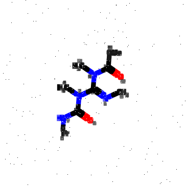 C/N=C(/N(C)C(=O)NC(C)C)N(C)C(=O)OC